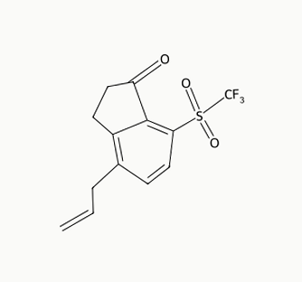 C=CCc1ccc(S(=O)(=O)C(F)(F)F)c2c1CCC2=O